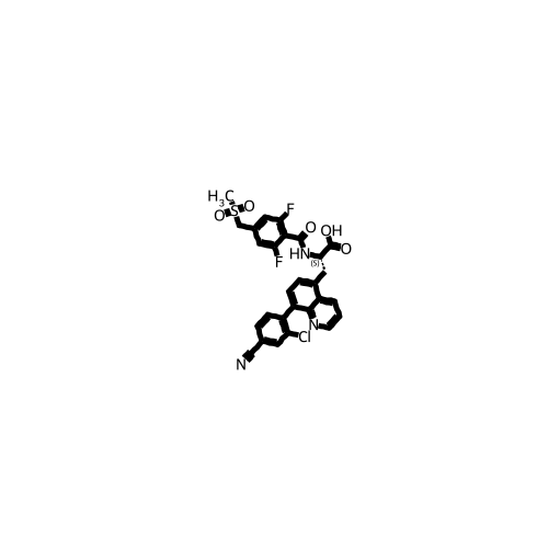 CS(=O)(=O)Cc1cc(F)c(C(=O)N[C@@H](Cc2ccc(-c3ccc(C#N)cc3Cl)c3ncccc23)C(=O)O)c(F)c1